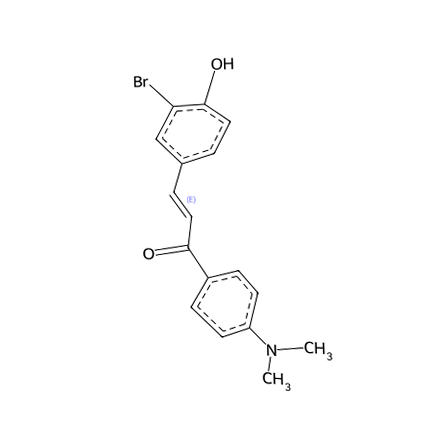 CN(C)c1ccc(C(=O)/C=C/c2ccc(O)c(Br)c2)cc1